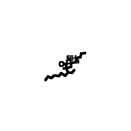 CCCCCCCC(CC)C(C)(CCCCCCC)C(=O)O[SiH3]